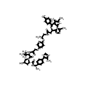 Cc1ncsc1-c1ccc([C@H](C)NC(=O)[C@@H]2C[C@@H](O)CN2C(=O)[C@@H](NC(=O)COc2ccc(O[C@H](C)CNC(=O)CC3N=C(c4ccc(Cl)cc4)c4c(sc(C)c4C)-n4c(C)nnc43)nc2)C(C)(C)C)cc1